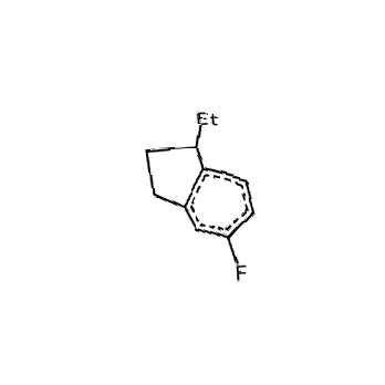 CCC1CCc2cc(F)ccc21